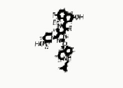 CCc1c(F)ccc2cc(O)cc(-c3ncc4c(N5CCC[C@@](C)(O)C5)nc(OC[C@]56CCC[C@H]5N(CC5CC5)CCC6)nc4c3F)c12